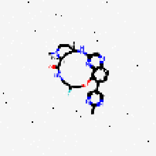 Cc1ncc(-c2ccc3ncc4nc3c2OCC(F)CNC(=O)[C@@H]2C[C@H](CCN2C)N4)cn1